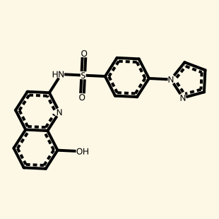 O=S(=O)(Nc1ccc2cccc(O)c2n1)c1ccc(-n2cccn2)cc1